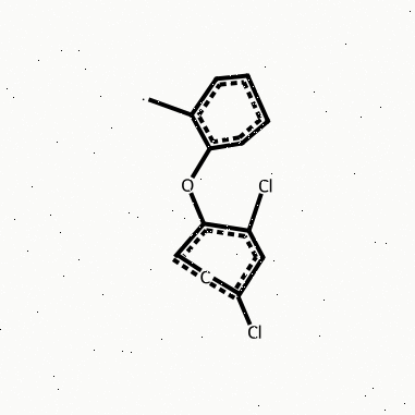 [CH2]c1ccccc1Oc1ccc(Cl)cc1Cl